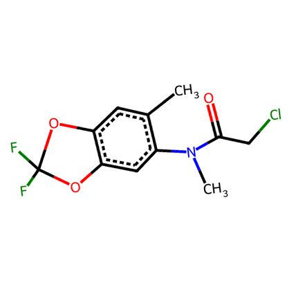 Cc1cc2c(cc1N(C)C(=O)CCl)OC(F)(F)O2